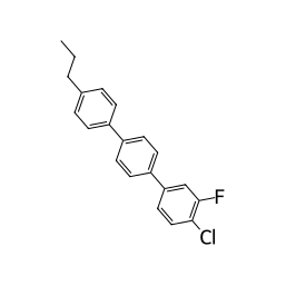 CCCc1ccc(-c2ccc(-c3ccc(Cl)c(F)c3)cc2)cc1